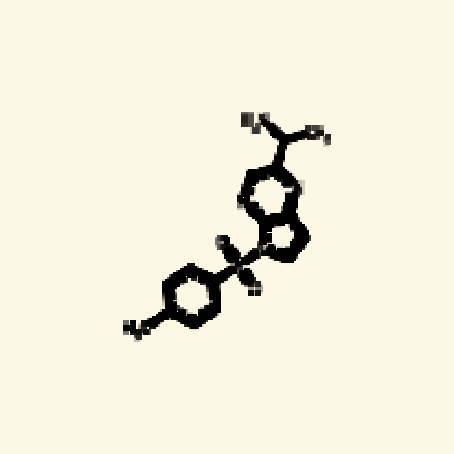 Cc1ccc(S(=O)(=O)n2ccc3nc(C(N)C(F)(F)F)cnc32)cc1